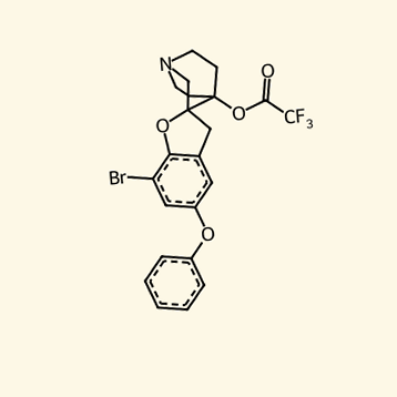 O=C(OC12CCN(CC1)CC21Cc2cc(Oc3ccccc3)cc(Br)c2O1)C(F)(F)F